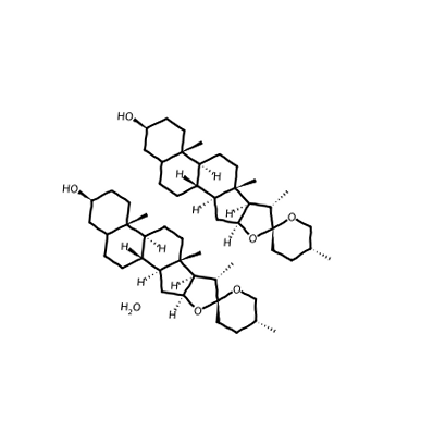 C[C@@H]1CC[C@@]2(OC1)O[C@H]1C[C@H]3[C@@H]4CCC5C[C@@H](O)CC[C@]5(C)[C@H]4CC[C@]3(C)[C@H]1[C@@H]2C.C[C@@H]1CC[C@@]2(OC1)O[C@H]1C[C@H]3[C@@H]4CCC5C[C@@H](O)CC[C@]5(C)[C@H]4CC[C@]3(C)[C@H]1[C@@H]2C.O